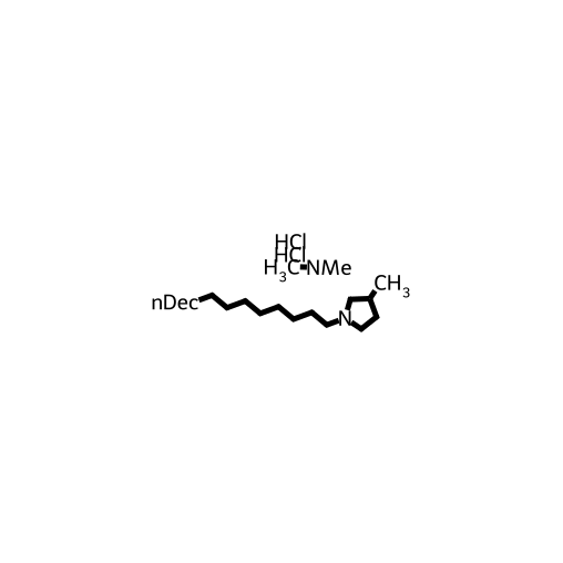 CCCCCCCCCCCCCCCCCCN1CCC(C)C1.CNC.Cl.Cl